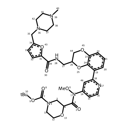 CON(C(=O)C1CN(C(=O)OC(C)(C)C)CCO1)c1ccnc(-c2cccc3c2OC(CNC(=O)c2ccc(CN4CCN(C)CC4)o2)CO3)c1